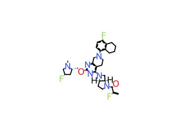 C=C(F)C(=O)N1CC[C@@H]2[C@H]1CN2c1nc(OC[C@@H]2C[C@@H](F)CN2C)nc2c1CCN(c1ccc(F)c3c1CCCC3)C2